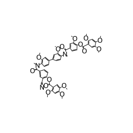 COc1cc(OC)c(C(=O)Oc2ccc(C(=O)N(C)c3ccc(-c4ccc(N(C)C(=O)c5ccc(OC(=O)c6cc(OC)c(OC)cc6OC)c(OC)c5)c(OC)c4)cc3OC)cc2C#N)cc1OC